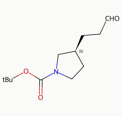 CC(C)(C)OC(=O)N1CC[C@H](CCC=O)C1